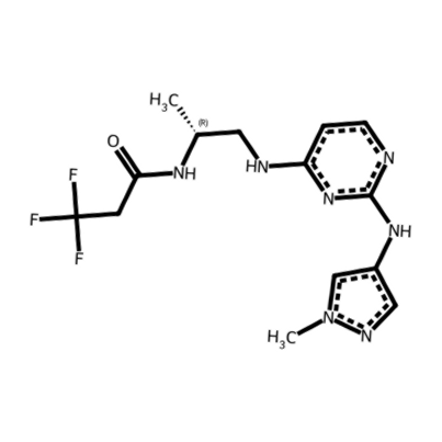 C[C@H](CNc1ccnc(Nc2cnn(C)c2)n1)NC(=O)CC(F)(F)F